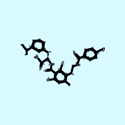 Cc1cc(Cl)c(C(=O)N[C@@H](Cc2cccc(C(C)C)c2)C(=O)O)c(Cl)c1CCNC(=O)c1ccc(Cl)cc1